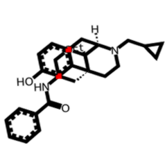 CC[C@]12OCC(NC(=O)c3ccccc3)C[C@@]13CCN(CC1CC1)[C@@H]2Cc1ccc(O)cc13